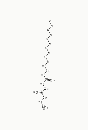 CCCCCCCCCCCCCC(=O)COC(=O)CCN